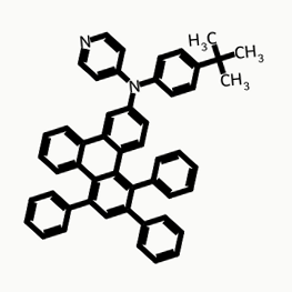 CC(C)(C)c1ccc(N(c2ccncc2)c2ccc3c(c2)c2ccccc2c2c(-c4ccccc4)cc(-c4ccccc4)c(-c4ccccc4)c32)cc1